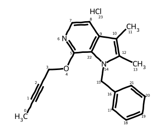 CC#CCOc1nccc2c(C)c(C)n(Cc3ccccc3)c12.Cl